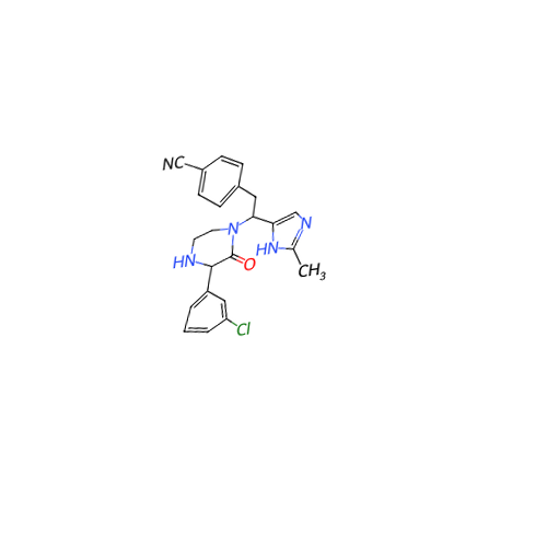 Cc1ncc(C(Cc2ccc(C#N)cc2)N2CCNC(c3cccc(Cl)c3)C2=O)[nH]1